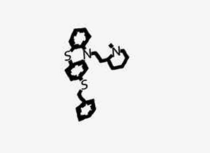 CN1CCCCC1CCN1c2ccccc2Sc2ccc(SCc3ccccc3)cc21